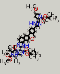 COC[C@H]1C[C@@H](c2ncc(-c3ccc4c(c3)COc3cc5c(ccc6nc([C@@H]7N(C(=O)OC(C)(C)C)C[C@H](C)N7C(=O)[C@@H](NC(=O)OC)C(C)C)[nH]c65)cc3-4)[nH]2)N(C(=O)OC(C)(C)C)C1